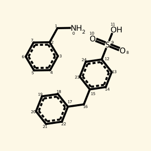 NCc1ccccc1.O=S(=O)(O)c1ccc(Cc2ccccc2)cc1